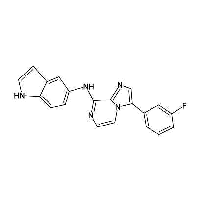 Fc1cccc(-c2cnc3c(Nc4ccc5[nH]ccc5c4)nccn23)c1